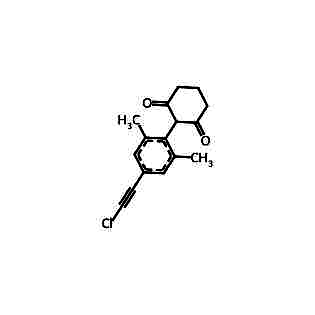 Cc1cc(C#CCl)cc(C)c1C1C(=O)CCCC1=O